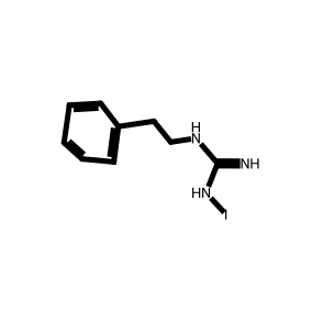 N=C(NI)NCCc1ccccc1